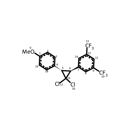 COc1ccc([C@@H]2[C@@H](c3cc(C(F)(F)F)cc(C(F)(F)F)c3)C2(Cl)Cl)cc1